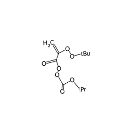 C=C(OOC(C)(C)C)C(=O)OOC(=O)OC(C)C